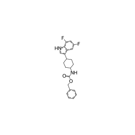 O=C(NC1CCC(c2c[nH]c3c(F)cc(F)cc23)CC1)OCc1ccccc1